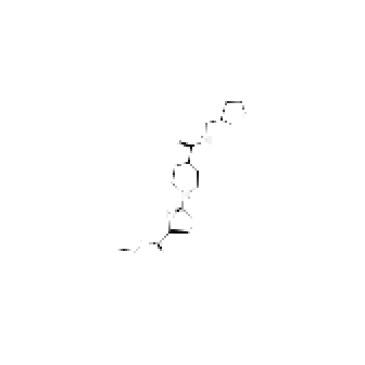 CCOC(=O)c1csc(N2CCC(C(=O)NCC3CCCO3)CC2)n1